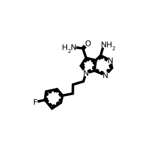 NC(=O)c1cn(CCCc2ccc(F)cc2)c2ncnc(N)c12